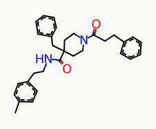 Cc1ccc(CCNC(=O)C2(Cc3ccccc3)CCN(C(=O)CCc3ccccc3)CC2)cc1